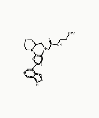 COCCNC(=O)CN1CC2COCCN2c2nc(-c3cccc4[nH]ccc34)ncc21